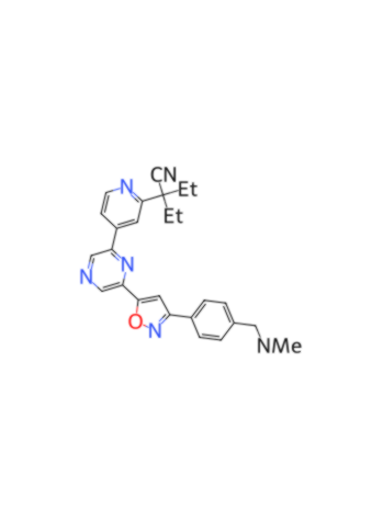 CCC(C#N)(CC)c1cc(-c2cncc(-c3cc(-c4ccc(CNC)cc4)no3)n2)ccn1